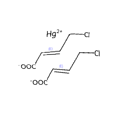 O=C([O-])/C=C/CCl.O=C([O-])/C=C/CCl.[Hg+2]